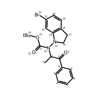 CC(C(=O)c1ccccc1)N(C(=O)OC(C)(C)C)N1CCc2ccc(Br)cc21